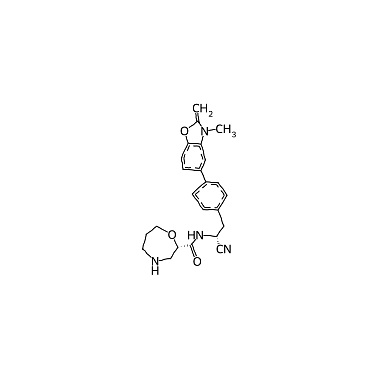 C=C1Oc2ccc(-c3ccc(C[C@H](C#N)NC(=O)[C@@H]4CNCCCO4)cc3)cc2N1C